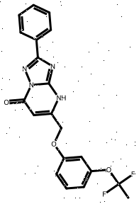 CC(F)(F)Oc1cccc(OCc2cc(=O)n3nc(-c4ccccc4)nc3[nH]2)c1